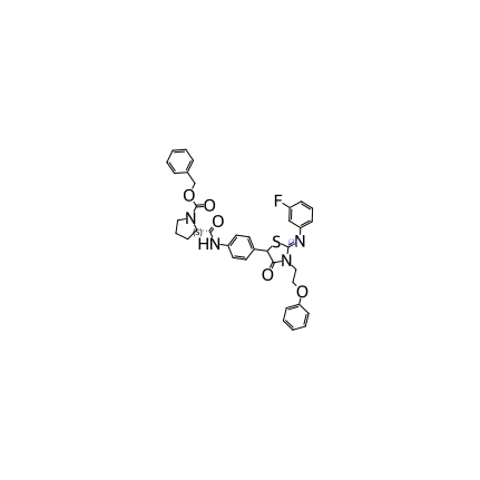 O=C(Nc1ccc(C2S/C(=N\c3cccc(F)c3)N(CCOc3ccccc3)C2=O)cc1)[C@@H]1CCCN1C(=O)OCc1ccccc1